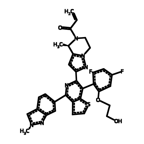 C=CC(=O)N1CCn2nc(-c3nc(-c4ccc5cn(C)nc5c4)c4ccsc4c3-c3c(F)cc(F)cc3OCCO)cc2[C@H]1C